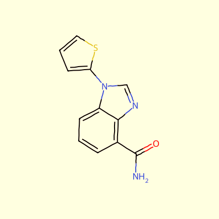 NC(=O)c1cccc2c1ncn2-c1cccs1